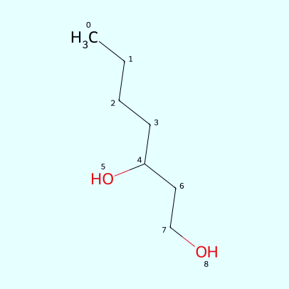 CCCCC(O)CCO